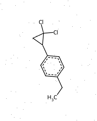 CCc1ccc(C2CC2(Cl)Cl)cc1